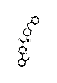 O=C(NC1CCN(Cc2ccccn2)CC1)c1cnc(-c2ccccc2F)nc1